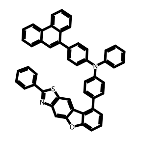 c1ccc(-c2nc3cc4oc5cccc(-c6ccc(N(c7ccccc7)c7ccc(-c8cc9ccccc9c9ccccc89)cc7)cc6)c5c4cc3s2)cc1